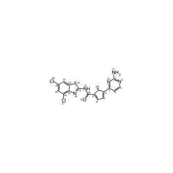 Nc1nccc(-c2ccc(C(=O)Nc3nc4c(Cl)cc(Cl)cc4s3)s2)n1